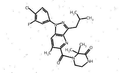 Cc1cc2c(nc1C(=O)N1CCNC(=O)C1(C)C)c(CC(C)C)nn2-c1ccc(Cl)c(F)c1